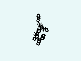 c1ccc(-c2nc(-c3ccc4c(c3)sc3ccccc34)nc(-c3ccc4oc5c6ccccc6c(-n6c7cc8ccccc8cc7c7ccc8ccccc8c76)cc5c4c3)n2)cc1